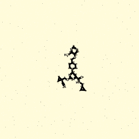 N#CC1(COc2nc(C(=O)NCC3CC3)cc(N3CCC(COc4cncnc4N)CC3)n2)CC1